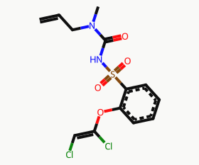 C=CCN(C)C(=O)NS(=O)(=O)c1ccccc1OC(Cl)=CCl